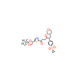 CC1(C)OCC(c2cnc(C(=O)CCC(=O)C(CC3CCOCC3)c3ccc(S(=O)(=O)C4CC4)cc3)s2)O1